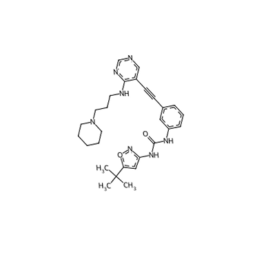 CC(C)(C)c1cc(NC(=O)Nc2cccc(C#Cc3cncnc3NCCCN3CCCCC3)c2)no1